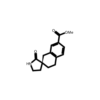 COC(=O)c1ccc2c(c1)C[C@]1(CCNC1=O)CC2